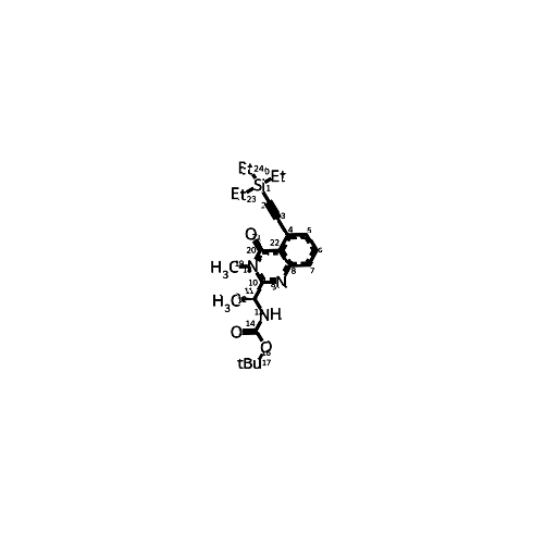 CC[Si](C#Cc1cccc2nc([C@H](C)NC(=O)OC(C)(C)C)n(C)c(=O)c12)(CC)CC